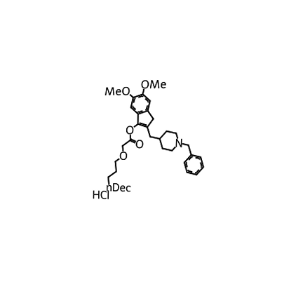 CCCCCCCCCCCCCOCC(=O)OC1=C(CC2CCN(Cc3ccccc3)CC2)Cc2cc(OC)c(OC)cc21.Cl